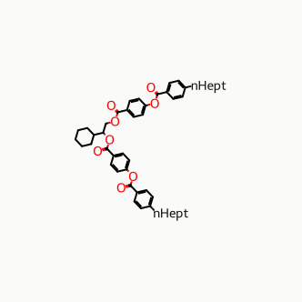 CCCCCCCc1ccc(C(=O)Oc2ccc(C(=O)OCC(OC(=O)c3ccc(OC(=O)c4ccc(CCCCCCC)cc4)cc3)C3CCCCC3)cc2)cc1